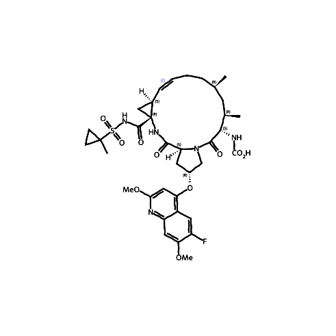 COc1cc(O[C@@H]2C[C@H]3C(=O)N[C@]4(C(=O)NS(=O)(=O)C5(C)CC5)C[C@H]4/C=C\CC[C@@H](C)C[C@@H](C)[C@H](NC(=O)O)C(=O)N3C2)c2cc(F)c(OC)cc2n1